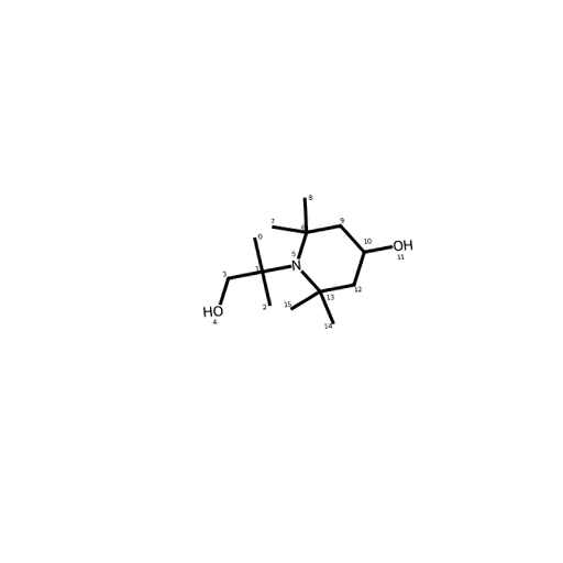 CC(C)(CO)N1C(C)(C)CC(O)CC1(C)C